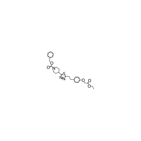 CCOC(=O)COc1ccc(CCc2nnc(C3CCN(C(=O)OCc4ccccc4)CC3)s2)cc1